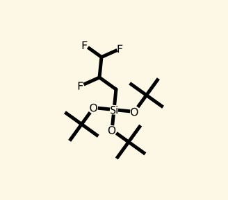 CC(C)(C)O[Si](CC(F)C(F)F)(OC(C)(C)C)OC(C)(C)C